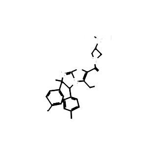 CCC1=C(C(=O)N2CC(N(C)C)C2)SC2=NC(C)(c3ccc(Cl)cc3)C(c3ccc(Cl)cc3)N21